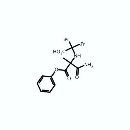 CC(C)C(NC(C)(C(N)=O)C(=O)Oc1ccccc1)(C(=O)O)C(C)C